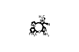 CCn1nc2c(c1C#N)-c1cnc(N)c(c1)OC(C)c1cc(F)ccc1-n1nccc1C2